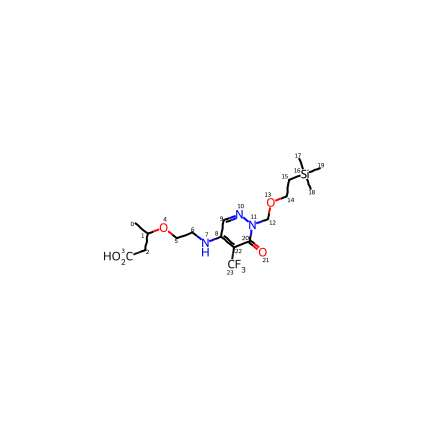 CC(CC(=O)O)OCCNc1cnn(COCC[Si](C)(C)C)c(=O)c1C(F)(F)F